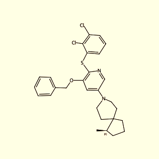 C[C@@H]1CCCC12CCN(c1cnc(Sc3cccc(Cl)c3Cl)c(OCc3ccccc3)c1)CC2